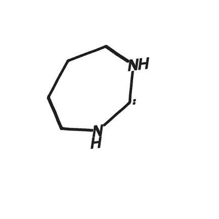 [C]1NCCCCN1